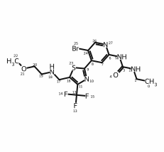 CCNC(=O)Nc1cc(-c2nc(C(F)(F)F)c(CNCCOC)s2)c(Br)cn1